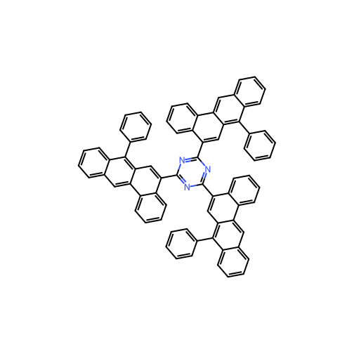 c1ccc(-c2c3ccccc3cc3c2cc(-c2nc(-c4cc5c(-c6ccccc6)c6ccccc6cc5c5ccccc45)nc(-c4cc5c(-c6ccccc6)c6ccccc6cc5c5ccccc45)n2)c2ccccc23)cc1